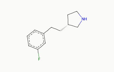 Fc1cccc(CC[C@@H]2CCNC2)c1